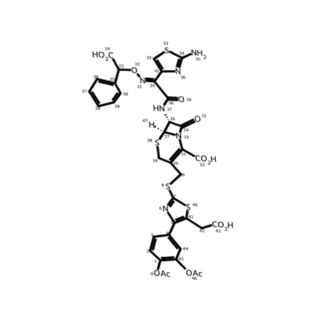 CC(=O)Oc1ccc(-c2nc(SCC3=C(C(=O)O)N4C(=O)[C@@H](NC(=O)C(=NOC(C(=O)O)c5ccccc5)c5csc(N)n5)[C@@H]4SC3)sc2CC(=O)O)cc1OC(C)=O